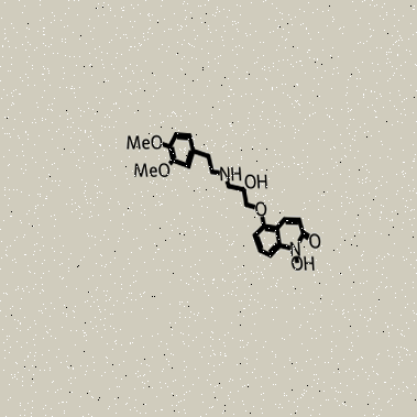 COc1ccc(CCNCC(O)COc2cccc3c2ccc(=O)n3O)cc1OC